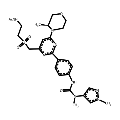 CC(=O)NCCS(=O)(=O)Cc1cc(N2CCOC[C@@H]2C)nc(-c2ccc(NC(=O)N(C)c3cnn(C)c3)cc2)n1